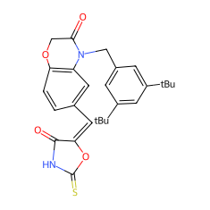 CC(C)(C)c1cc(CN2C(=O)COc3ccc(C=C4OC(=S)NC4=O)cc32)cc(C(C)(C)C)c1